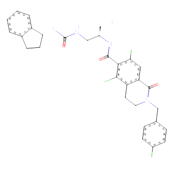 O=C(NC[C@H](NC(=O)c1c(Cl)cc2c(c1Cl)CCN(Cc1ccc(Cl)cc1)C2=O)C(=O)O)N[C@@H]1CCc2ccccc21